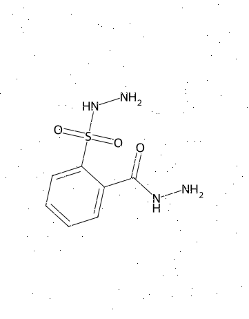 NNC(=O)c1ccccc1S(=O)(=O)NN